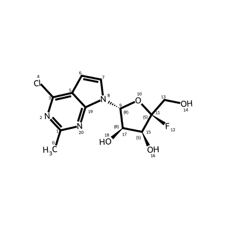 Cc1nc(Cl)c2ccn([C@@H]3O[C@](F)(CO)[C@@H](O)[C@H]3O)c2n1